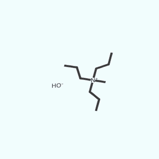 CCC[N+](C)(CCC)CCC.[OH-]